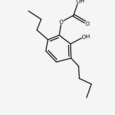 CCCCc1ccc(CCC)c(OC(=O)O)c1O